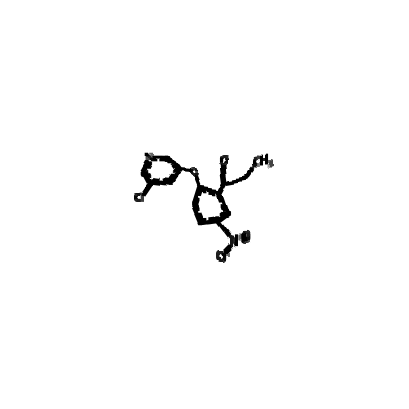 CCC(=O)c1cc([N+](=O)[O-])ccc1Oc1cncc(Cl)c1